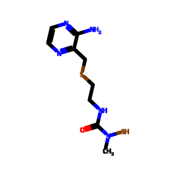 CN(S)C(=O)NCCSCc1nccnc1N